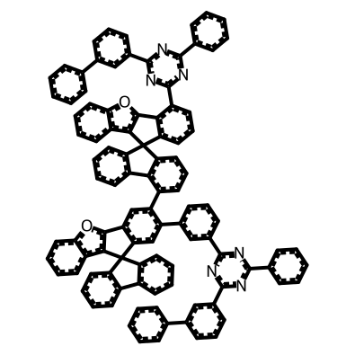 c1ccc(-c2cccc(-c3nc(-c4ccccc4)nc(-c4cccc(-c5cc6c(cc5-c5cccc7c5-c5ccccc5C75c7cccc(-c8nc(-c9ccccc9)nc(-c9cccc(-c%10ccccc%10)c9)n8)c7-c7oc8ccccc8c75)-c5oc7ccccc7c5C65c6ccccc6-c6ccccc65)c4)n3)c2)cc1